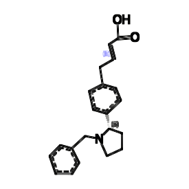 O=C(O)/C=C/Cc1ccc([C@@H]2CCCN2Cc2ccccc2)cc1